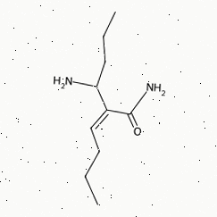 CCCC=C(C(N)=O)C(N)CCC